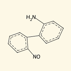 Nc1ccccc1-c1ccccc1N=O